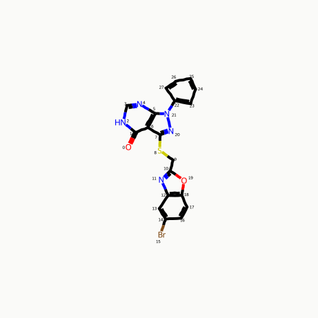 O=c1[nH]cnc2c1c(SCc1nc3cc(Br)ccc3o1)nn2-c1ccccc1